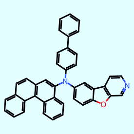 c1ccc(-c2ccc(N(c3ccc4oc5cnccc5c4c3)c3cc4ccc5ccccc5c4c4ccccc34)cc2)cc1